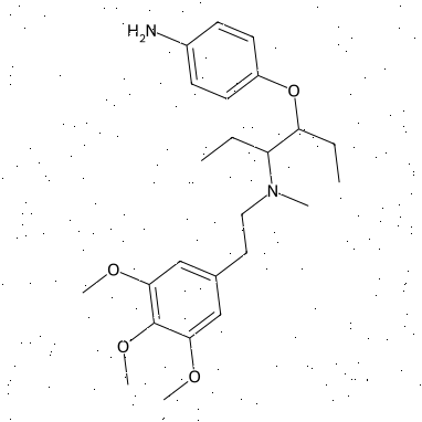 CCC(Oc1ccc(N)cc1)C(CC)N(C)CCc1cc(OC)c(OC)c(OC)c1